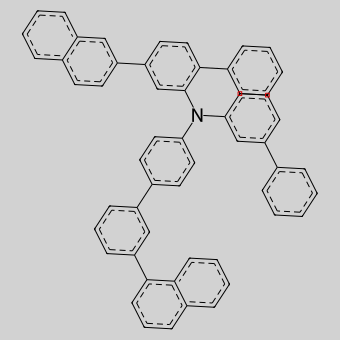 c1ccc(-c2cccc(N(c3ccc(-c4cccc(-c5cccc6ccccc56)c4)cc3)c3cc(-c4ccc5ccccc5c4)ccc3-c3ccccc3)c2)cc1